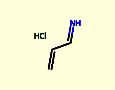 C=CC=N.Cl